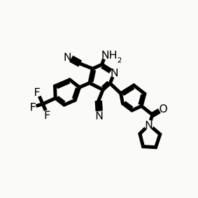 N#Cc1c(N)nc(-c2ccc(C(=O)N3CCCC3)cc2)c(C#N)c1-c1ccc(C(F)(F)F)cc1